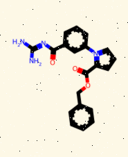 NC(N)=NC(=O)c1cccc(-n2cccc2C(=O)OCc2ccccc2)c1